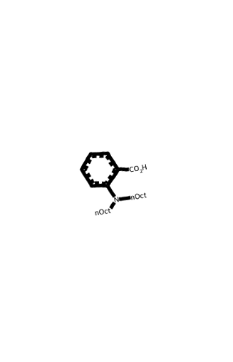 CCCCCCCCN(CCCCCCCC)c1ccccc1C(=O)O